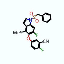 CSc1c(Oc2ccc(F)c(C#N)c2)c(F)cc2c1ccn2S(=O)(=O)Cc1ccccc1